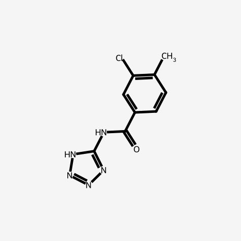 Cc1ccc(C(=O)Nc2nnn[nH]2)cc1Cl